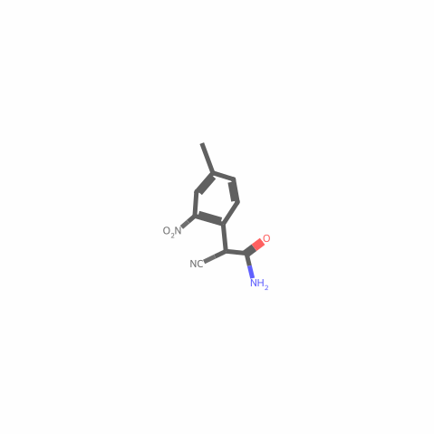 Cc1ccc(C(C#N)C(N)=O)c([N+](=O)[O-])c1